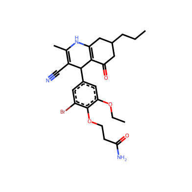 CCCC1CC(=O)C2=C(C1)NC(C)=C(C#N)C2c1cc(Br)c(OCCC(N)=O)c(OCC)c1